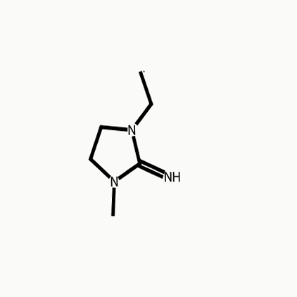 [CH2]CN1CCN(C)C1=N